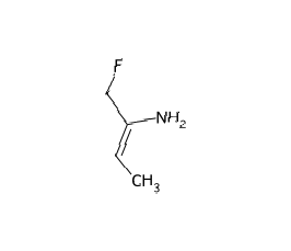 C/C=C(\N)CF